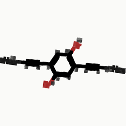 CCCCCCC#Cc1cc(Br)c(C#CCCCCCC)cc1Br